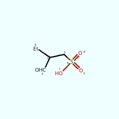 CCC(C=O)CS(=O)(=O)O